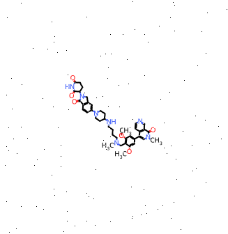 COc1cc(-c2cn(C)c(=O)c3cnccc23)cc(OC)c1CN(C)CCCCNC1CCN(c2ccc3c(c2)CN(C2CCC(=O)NC2=O)C3=O)CC1